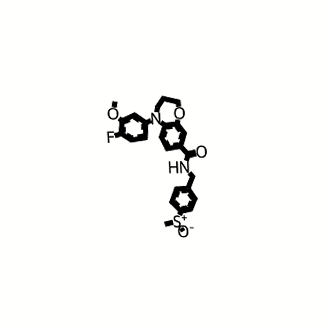 COc1cc(N2CCCOc3cc(C(=O)NCc4ccc([S+](C)[O-])cc4)ccc32)ccc1F